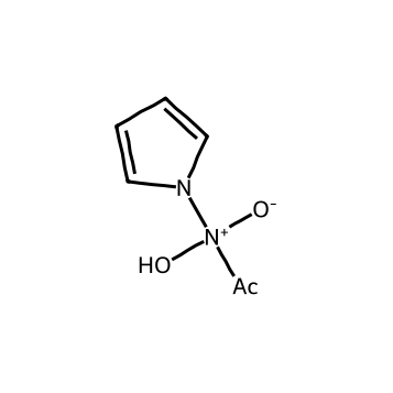 CC(=O)[N+]([O-])(O)n1cccc1